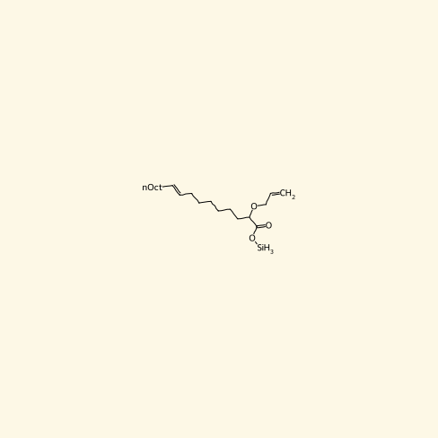 C=CCOC(CCCCCCC=CCCCCCCCC)C(=O)O[SiH3]